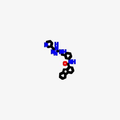 O=C(Nc1cccc(CNc2nnc(-c3cccnc3)[nH]2)c1)c1cccc2c1Cc1ccccc1-2